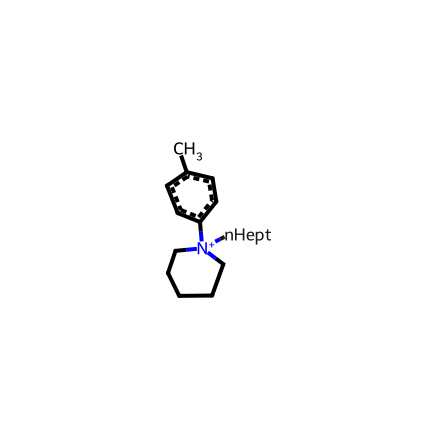 CCCCCCC[N+]1(c2ccc(C)cc2)CCCCC1